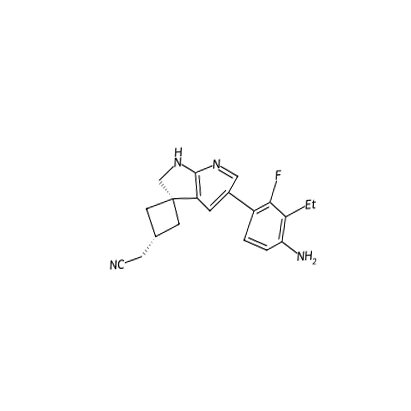 CCc1c(N)ccc(-c2cnc3c(c2)[C@]2(CN3)C[C@@H](CC#N)C2)c1F